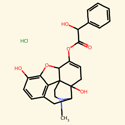 CN1CCC23c4c5ccc(O)c4OC2C(OC(=O)C(O)c2ccccc2)=CCC3(O)C1C5.Cl